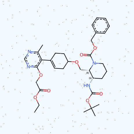 CCOC(=O)COc1ncnc(C)c1C1=CCC(OC[C@H]2[C@@H](NC(=O)OC(C)(C)C)CCCN2C(=O)OCc2ccccc2)CC1